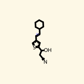 N#CCC(O)c1cc(/C=C/C2CCCCC2)cs1